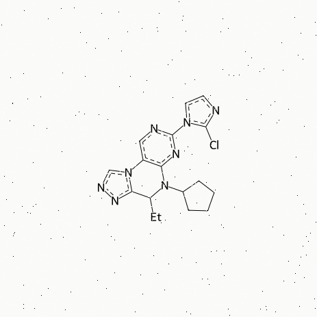 CCC1c2nncn2-c2cnc(-n3ccnc3Cl)nc2N1C1CCCC1